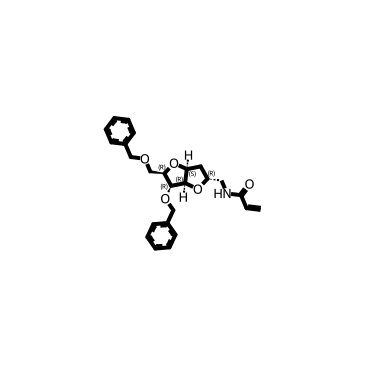 C=CC(=O)NC[C@H]1C[C@@H]2O[C@H](COCc3ccccc3)[C@@H](OCc3ccccc3)[C@@H]2O1